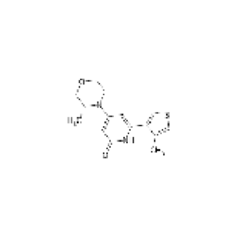 Cc1cscc1-c1cc(N2CCOC[C@H]2C)cc(=O)[nH]1